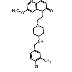 COc1cnc2ccc(=O)n(CCN3CCC(NCc4ccc(Cl)c(C)c4)CC3)c2c1